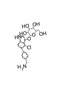 NCc1ccc(-c2ccc3[nH]cc(OC4OC(CO)C(O)C(O)C4O)c3c2Cl)cc1